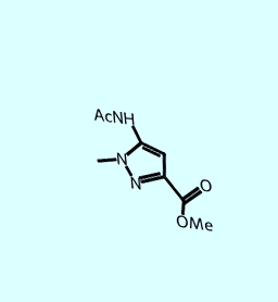 COC(=O)c1cc(NC(C)=O)n(C)n1